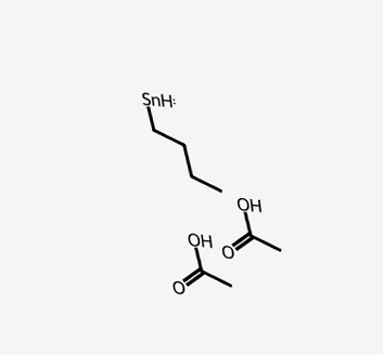 CC(=O)O.CC(=O)O.CCC[CH2][SnH]